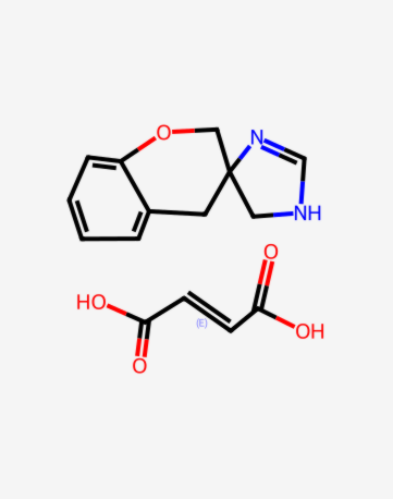 C1=NC2(CN1)COc1ccccc1C2.O=C(O)/C=C/C(=O)O